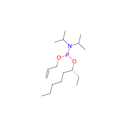 C=CCOP(O[C@H](CC)CCCCC)N(C(C)C)C(C)C